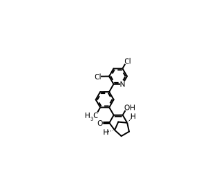 Cc1ccc(-c2ncc(Cl)cc2Cl)cc1C1=C(O)[C@H]2CC[C@H](C2)C1=O